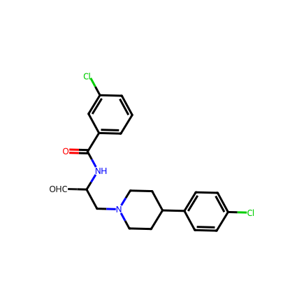 O=CC(CN1CCC(c2ccc(Cl)cc2)CC1)NC(=O)c1cccc(Cl)c1